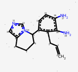 C=CCc1c(C2CCCc3cncn32)ccc(N)c1N